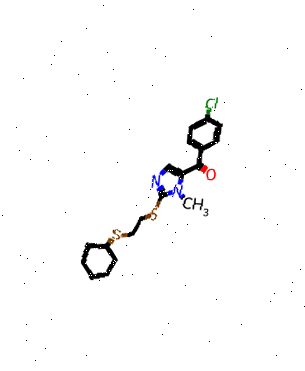 Cn1c(C(=O)c2ccc(Cl)cc2)cnc1SCCSC1CCCCC1